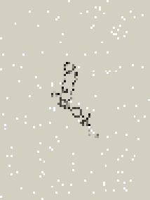 O=C(NCC(F)(F)F)c1ccc(-n2nnc(C(=O)NCCCc3ccccc3)c2CCCCCF)cc1